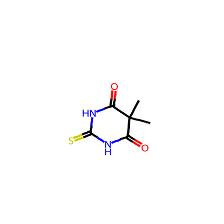 CC1(C)C(=O)NC(=S)NC1=O